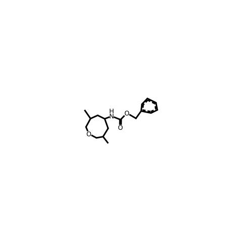 CC1COCC(C)CC(NC(=O)OCc2ccccc2)C1